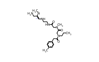 C=N/C(=C\NCCNC(=O)CN(C)C(=O)CN(CCC)C(=O)Cc1ccc(C)cc1)CN